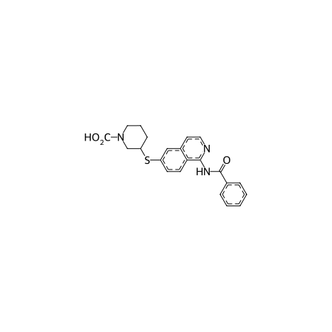 O=C(Nc1nccc2cc(SC3CCCN(C(=O)O)C3)ccc12)c1ccccc1